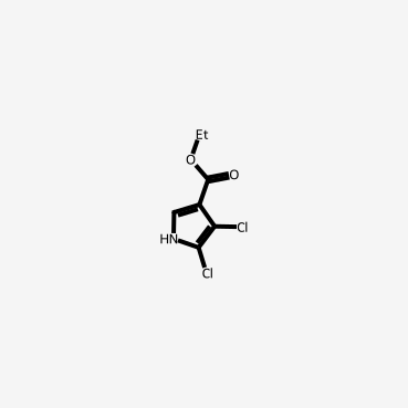 CCOC(=O)c1c[nH]c(Cl)c1Cl